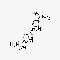 N=C(N)c1ccc2c(c1)ncn2Cn1cnc2cc(C(=N)N)ccc21